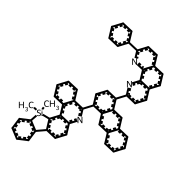 C[Si]1(C)c2ccccc2-c2ccc3nc(-c4ccc(-c5ccc6ccc7ccc(-c8ccccc8)nc7c6n5)c5cc6ccccc6cc45)c4ccccc4c3c21